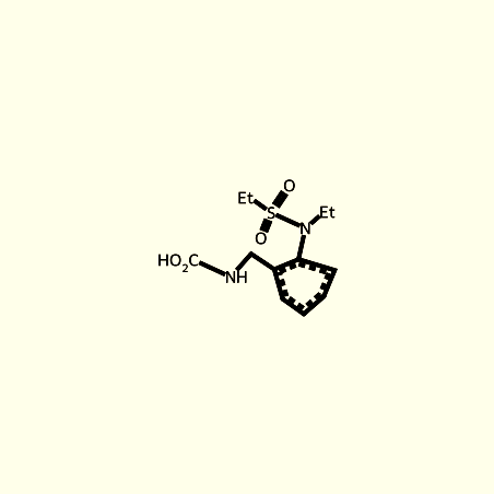 CCN(c1ccccc1CNC(=O)O)S(=O)(=O)CC